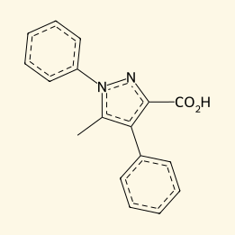 Cc1c(-c2ccccc2)c(C(=O)O)nn1-c1ccccc1